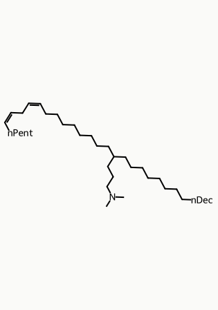 CCCCC/C=C\C/C=C\CCCCCCCCC(CCCCCCCCCCCCCCCCCC)CCCN(C)C